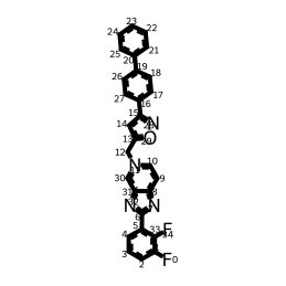 Fc1cccc(-c2nc3ccn(Cc4cc(-c5ccc(-c6ccccc6)cc5)no4)cc-3n2)c1F